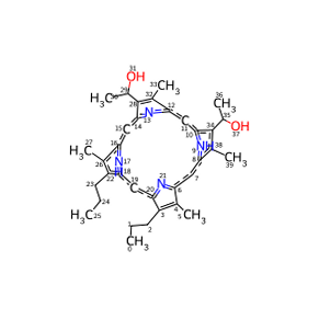 CCCC1=C(C)c2cc3[nH]c(cc4nc(cc5[nH]c(cc1n2)c(CCC)c5C)C(C(C)O)=C4C)c(C(C)O)c3C